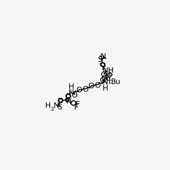 Cc1ncsc1-c1ccc(CNC(=O)[C@@H]2CCCN2C(=O)[C@@H](NC(=O)CCOCCOCCOCCOCCC(=O)Nc2ccc3c(-c4cccc(C(N)=S)c4)cn(C4CCC(F)(F)CC4)c3c2)C(C)(C)C)cc1